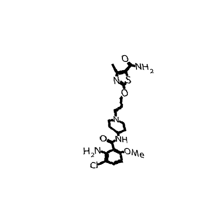 COc1ccc(Cl)c(N)c1C(=O)NC1CCN(CCCOc2nc(C)c(C(N)=O)s2)CC1